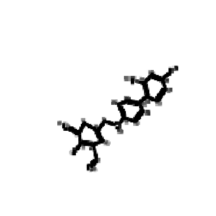 O=[C]C1=C(F)C(=O)CC(COc2ccc(-c3ccc(F)cc3F)cc2)=C1